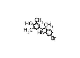 Cc1cc(-c2[nH]c3cc(Br)ccc3c2C)cc(C)c1O